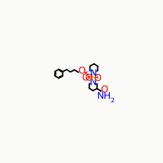 NC(=O)C1CCCN(S(=O)(=O)N2CCCC[C@H]2C(=O)OCCCCc2ccccc2)C1